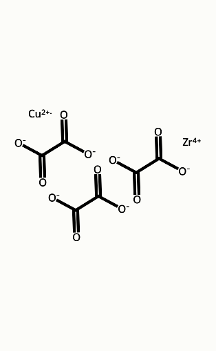 O=C([O-])C(=O)[O-].O=C([O-])C(=O)[O-].O=C([O-])C(=O)[O-].[Cu+2].[Zr+4]